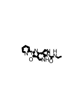 CCNC(=O)n1ncc2c3nn(-c4ccccn4)c(=O)c-3c[nH]c21